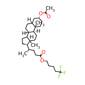 CC(=O)O[C@@H]1CC[C@@]2(C)[C@H](CC[C@@H]3[C@@H]2CC[C@]2(C)[C@@H]([C@H](C)CCC(=O)OCCCCC(F)(F)F)CC[C@@H]32)C1